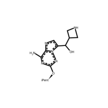 CCC[C@H](C)Oc1nc(N)c2ncc(C(O)C3CNC3)n2n1